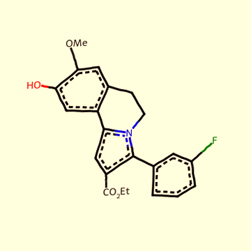 CCOC(=O)c1cc2n(c1-c1cccc(F)c1)CCc1cc(OC)c(O)cc1-2